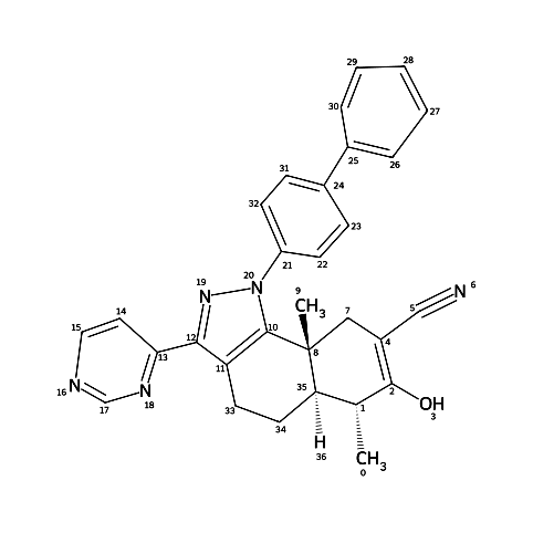 C[C@H]1C(O)=C(C#N)C[C@@]2(C)c3c(c(-c4ccncn4)nn3-c3ccc(-c4ccccc4)cc3)CC[C@H]12